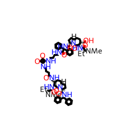 CC[C@H](NC)C(=O)N[C@@H]1C(=O)N2[C@@H](CC[C@@H]1CNC(=O)CCCNc1c(NCCCCNC(=O)C(NC(=O)[C@@H]3CC[C@@H]4CC[C@H](CO)[C@H](NC(=O)[C@H](CC)NC)C(=O)N43)(c3ccccc3)c3ccccc3)c(=O)c1=O)CC[C@H]2C(=O)NC(c1ccccc1)c1ccccc1